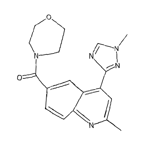 Cc1cc(-c2ncn(C)n2)c2cc(C(=O)N3CCOCC3)ccc2n1